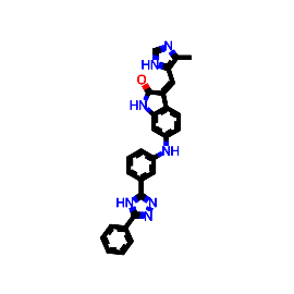 Cc1nc[nH]c1/C=C1\C(=O)Nc2cc(Nc3cccc(-c4nnc(-c5ccccc5)[nH]4)c3)ccc21